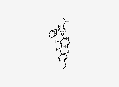 CCc1ccc(Nc2ncnc(O[C@H]3CC4CCC3N4c3nc(C(C)C)no3)c2F)c(F)c1